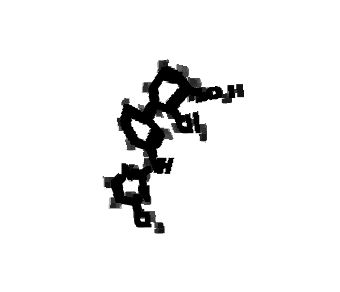 Cc1c(-c2cccc(Nc3nccc(C(F)(F)F)n3)c2)cccc1S(=O)(=O)O